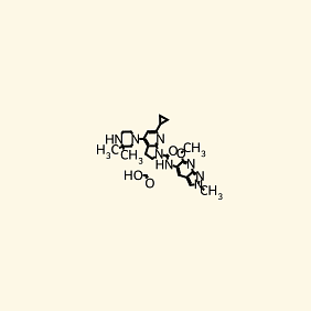 COc1nc2nn(C)cc2cc1NC(=O)N1CCc2c(N3CCNC(C)(C)C3)cc(C3CC3)nc21.O=CO